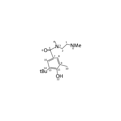 CNCCN(C)C(=O)c1cc(C)c(O)c(C(C)(C)C)c1